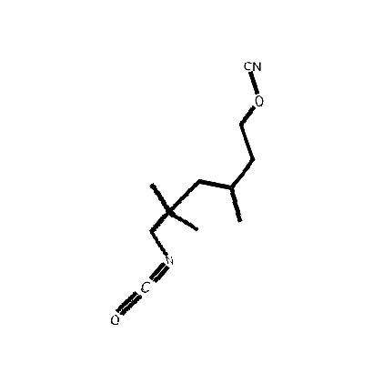 CC(CCOC#N)CC(C)(C)CN=C=O